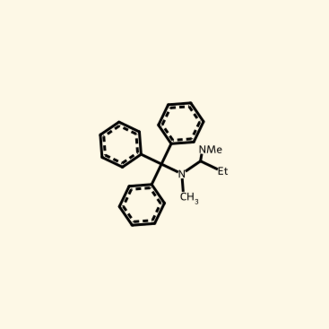 CCC(NC)N(C)C(c1ccccc1)(c1ccccc1)c1ccccc1